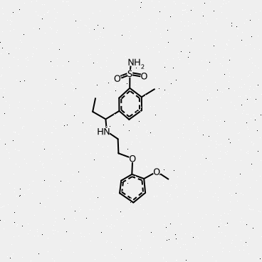 CCC(NCCOc1ccccc1OC)c1ccc(C)c(S(N)(=O)=O)c1